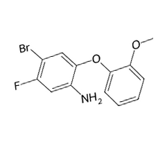 COc1ccccc1Oc1cc(Br)c(F)cc1N